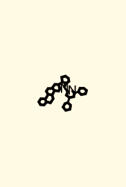 c1ccc(-c2cc(-c3ccccc3)nc(-n3c4ccccc4c4cc5ccc6c7ccccc7ccc6c5cc43)c2)cc1